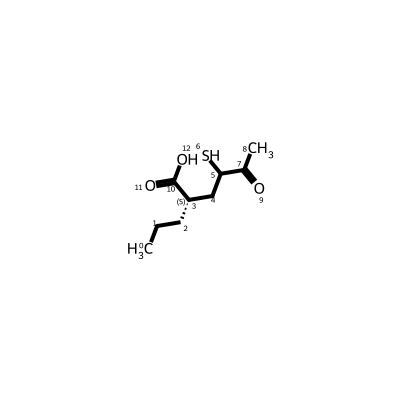 CCC[C@@H](CC(S)C(C)=O)C(=O)O